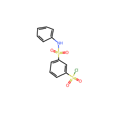 O=S(=O)(Cl)c1cccc(S(=O)(=O)Nc2ccccc2)c1